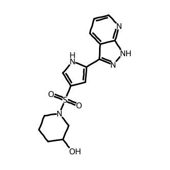 O=S(=O)(c1c[nH]c(-c2n[nH]c3ncccc23)c1)N1CCCC(O)C1